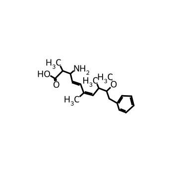 COC(Cc1ccccc1)C(C)C=C(C)C=CC(N)C(C)C(=O)O